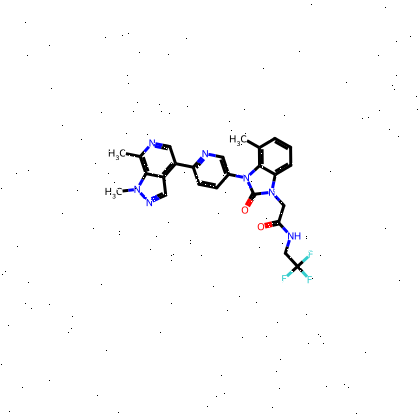 Cc1ncc(-c2ccc(-n3c(=O)n(CC(=O)NCC(F)(F)F)c4cccc(C)c43)cn2)c2cnn(C)c12